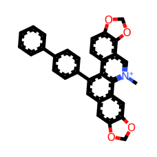 C[n+]1cc2c3c(ccc2c2c(-c4ccc(-c5ccccc5)cc4)cc4cc5c(cc4c21)OCO5)OCO3